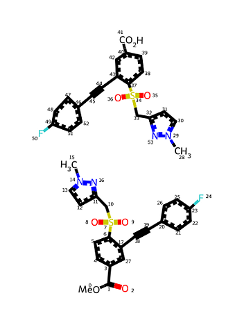 COC(=O)c1ccc(S(=O)(=O)Cc2ccn(C)n2)c(C#Cc2ccc(F)cc2)c1.Cn1ccc(CS(=O)(=O)c2ccc(C(=O)O)cc2C#Cc2ccc(F)cc2)n1